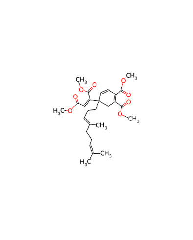 COC(=O)/C=C(\C(=O)OC)C1(CC/C=C(\C)CCC=C(C)C)C=CC(C(=O)OC)=C(C(=O)OC)C1